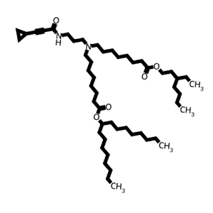 CCCCCCCCC(CCCCCCCC)OC(=O)CCCCCCCN(CCCCCCCC(=O)OCCC(CC)CCCC)CCCNC(=O)C#CC1CC1